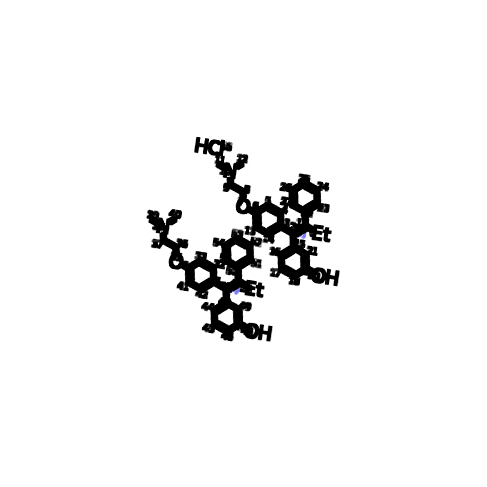 CC/C(=C(/c1ccc(OCCN(C)C)cc1)c1cccc(O)c1)c1ccccc1.CC/C(=C(/c1ccc(OCCN(C)C)cc1)c1cccc(O)c1)c1ccccc1.Cl